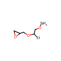 CCC(CO[SiH3])OCC1CO1